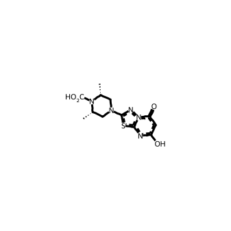 C[C@@H]1CN(c2nn3c(=O)cc(O)nc3s2)C[C@H](C)N1C(=O)O